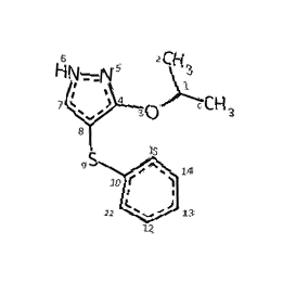 CC(C)Oc1n[nH]cc1Sc1ccccc1